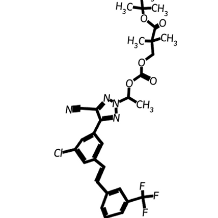 CC(OC(=O)OCC(C)(C)C(=O)OC(C)(C)C)n1nc(C#N)c(-c2cc(Cl)cc(C=Cc3cccc(C(F)(F)F)c3)c2)n1